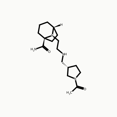 CC(=O)N1CC[C@@H](CNCCN2[C@@H]3C[CH]C[C@@]2(C(N)=O)CC3)C1